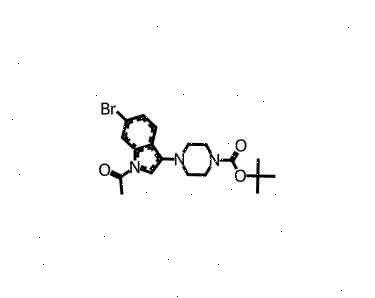 CC(=O)n1cc(N2CCN(C(=O)OC(C)(C)C)CC2)c2ccc(Br)cc21